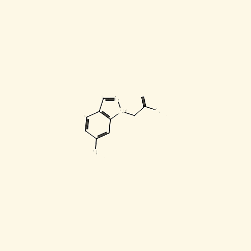 NC(=O)Cn1ncc2ccc(N)cc21